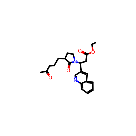 CCOC(=O)CC(c1cnc2ccccc2c1)N1CCC(CCCC(C)=O)C1=O